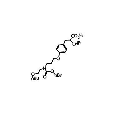 CCCCOCCN(CCCOc1ccc(CC(OC(C)C)C(=O)O)cc1)C(=O)OCCCC